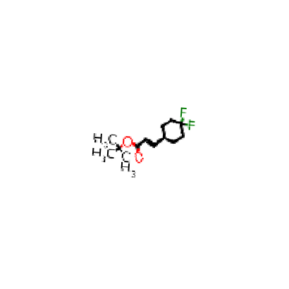 CC(C)(C)OC(=O)/C=C/C1CCC(F)(F)CC1